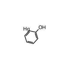 Oc1ccccc1.[Hg]